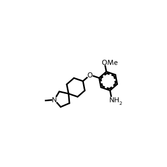 COc1ccc(N)cc1OC1CCC2(CC1)CCN(C)C2